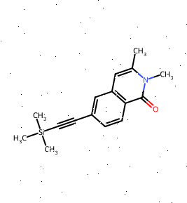 Cc1cc2cc(C#C[Si](C)(C)C)ccc2c(=O)n1C